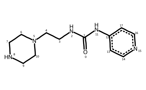 O=C(NCCN1CCNCC1)Nc1ccncc1